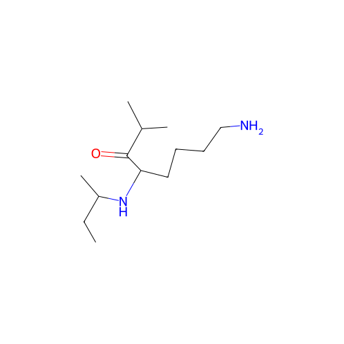 CCC(C)NC(CCCCN)C(=O)C(C)C